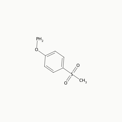 CS(=O)(=O)c1ccc(OP)cc1